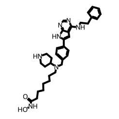 O=C(CCCCCCCN(Cc1ccc(-c2cc3c(NCCc4ccccc4)ncnc3[nH]2)cc1)C1CCNCC1)NO